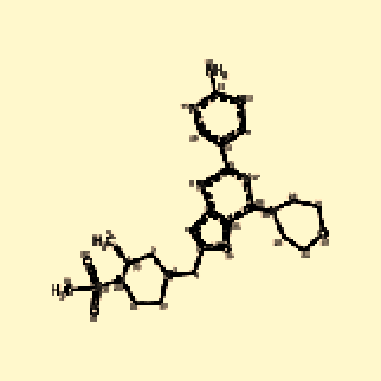 C[C@H]1CN(Cc2cc3nc(-c4cnc(N)nc4)nc(N4CCOCC4)c3s2)CCN1S(C)(=O)=O